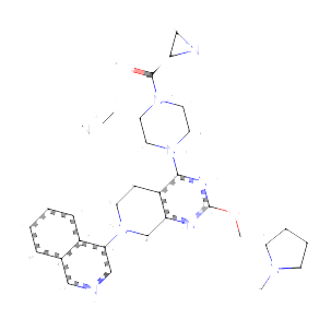 CN1CCC[C@H]1COc1nc2c(c(N3CCN(C(=O)[C@H]4CN4)[C@@H](CC#N)C3)n1)CCN(c1cncc3ccccc13)C2